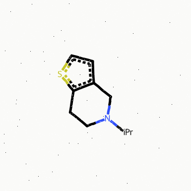 CC(C)N1CCc2sccc2C1